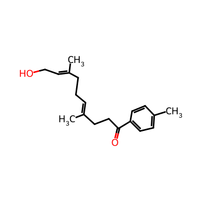 CC(=CCO)CCC=C(C)CCC(=O)c1ccc(C)cc1